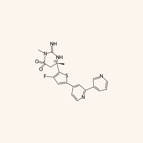 CN1C(=N)N[C@](C)(c2sc(-c3ccnc(-c4cccnc4)c3)cc2F)CS1(=O)=O